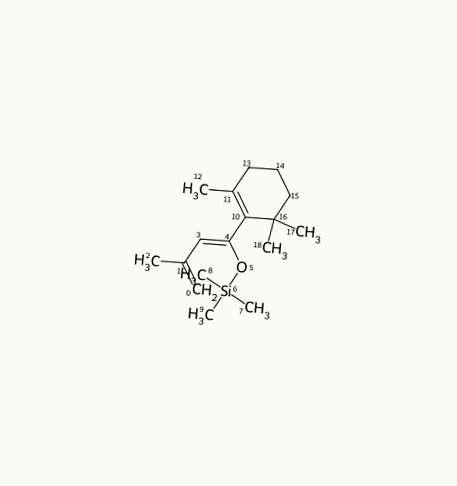 C=C(C)C=C(O[Si](C)(C)C)C1=C(C)CCCC1(C)C